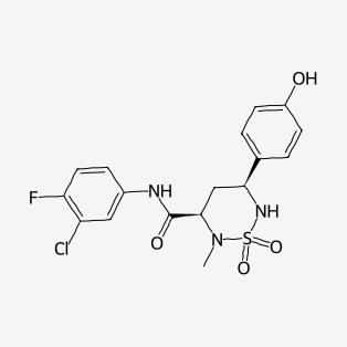 CN1[C@@H](C(=O)Nc2ccc(F)c(Cl)c2)C[C@@H](c2ccc(O)cc2)NS1(=O)=O